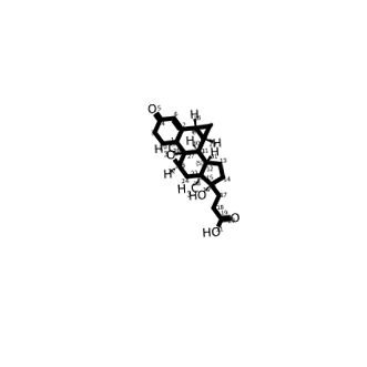 C[C@]12CCC(=O)C=C1[C@@H]1C[C@@H]1[C@H]1[C@@H]3CC[C@@](O)(CCC(=O)O)[C@@]3(C)C[C@H]3O[C@@]132